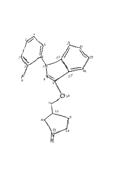 Fc1ccccc1-n1nc(OCC2CCNC2)c2ccccc21